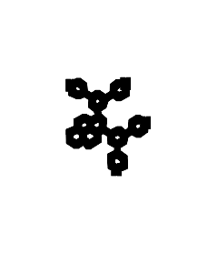 c1cc2ccc3c(-c4cc(-c5ccncc5)cc(-c5ccncc5)c4)cc(-c4cc(-c5ccncc5)cc(-c5ccncc5)c4)c4ccc(c1)c2c34